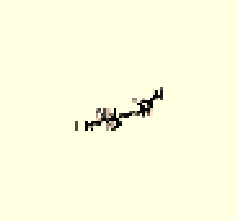 CN/C(=C\C=N)c1cc(CCCCc2ncc(C#N)cc2F)ccn1